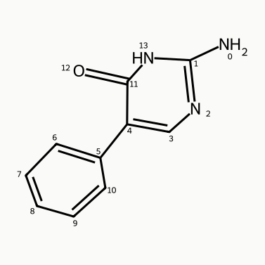 Nc1ncc(-c2ccccc2)c(=O)[nH]1